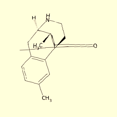 Cc1ccc2c(c1)[C@]13CCN[C@H](C2)[C@]1(C)CCC(=O)C3